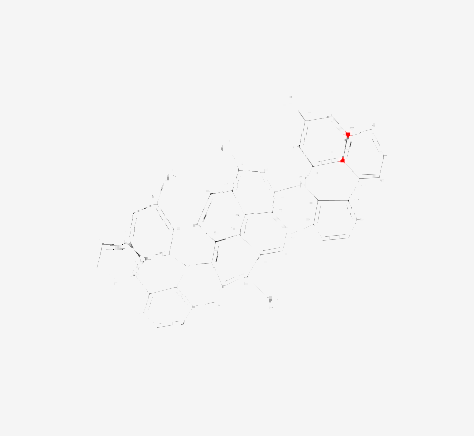 Cc1cccc(-c2ccccc2)c1N(c1cccc(C(C)C)c1)c1cc(C(C)C)c2ccc3c(N(c4cccc(C(C)C)c4)c4c(C)cccc4-c4ccccc4)cc(C(C)C)c4ccc1c2c43